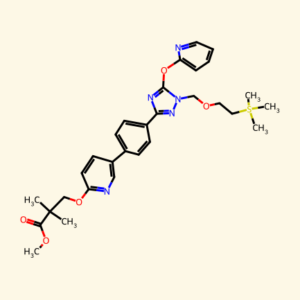 COC(=O)C(C)(C)COc1ccc(-c2ccc(-c3nc(Oc4ccccn4)n(COCCS(C)(C)C)n3)cc2)cn1